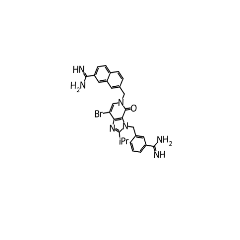 CC(C)c1nc2c(Br)cn(Cc3ccc4ccc(C(=N)N)cc4c3)c(=O)c2n1Cc1cccc(C(=N)N)c1